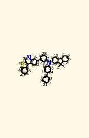 CC1(C)c2ccccc2-c2ccc(N(c3ccc(-c4ccccc4)cc3)c3cccc(-c4ccc5c(c4)ncc4sc6ccccc6c45)c3)cc21